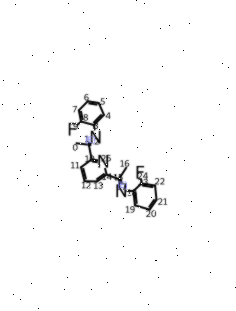 C/C(=N\c1ccccc1F)c1cccc(/C(C)=N/c2ccccc2F)n1